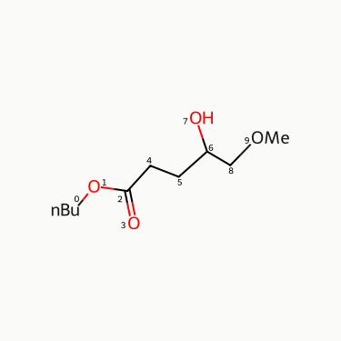 CCCCOC(=O)CCC(O)COC